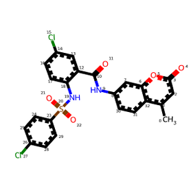 Cc1cc(=O)oc2cc(NC(=O)c3cc(Cl)ccc3NS(=O)(=O)c3ccc(Cl)cc3)ccc12